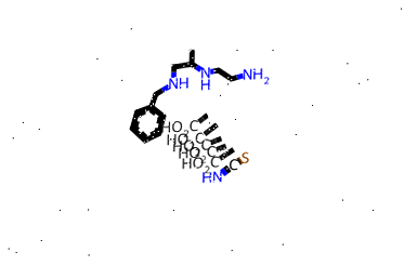 CC(=O)O.CC(=O)O.CC(=O)O.CC(=O)O.CC(=O)O.CC(CNCc1ccccc1)NCCN.N=C=S